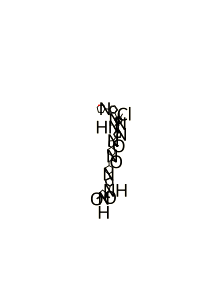 O=C1CCC(Nc2ccc(N3CCC(CC(=O)N4CCC5(CC4)CCN(c4cncc(Nc6ncc(Cl)c(-c7cccc(N8CCCCC8)c7)n6)c4)C5=O)CC3)cc2)C(=O)N1